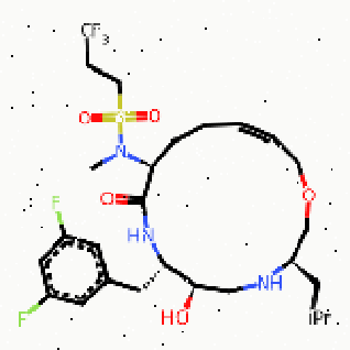 CC(C)C[C@@H]1COCC=CCC[C@H](N(C)S(=O)(=O)CCC(F)(F)F)C(=O)N[C@@H](Cc2cc(F)cc(F)c2)[C@H](O)CN1